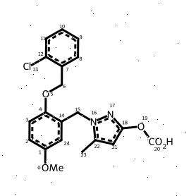 COc1ccc(OCc2ccccc2Cl)c(Cn2nc(OC(=O)O)cc2C)c1